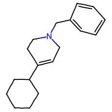 C1=C(C2CCCCC2)CCN(Cc2ccccc2)C1